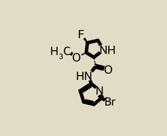 CO[C@H]1[C@@H](C(=O)Nc2cccc(Br)n2)NC[C@@H]1F